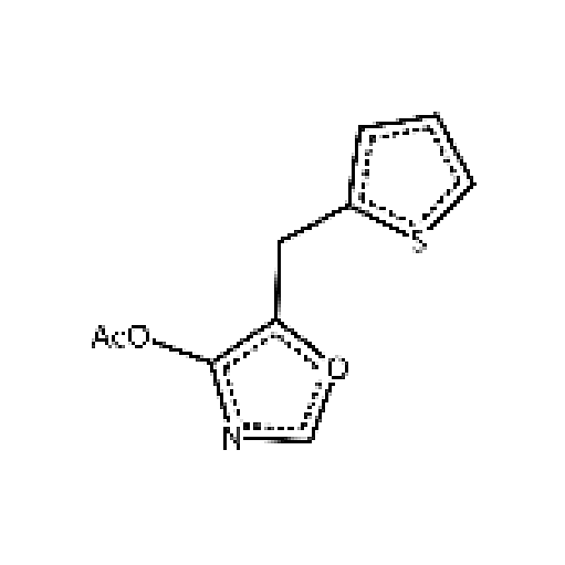 CC(=O)Oc1ncoc1Cc1cccs1